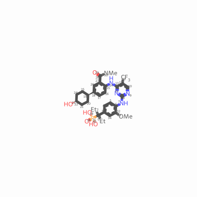 CCC(CC)(c1ccc(Nc2ncc(C(F)(F)F)c(Nc3ccc([C@H]4CC[C@H](O)CC4)cc3C(=O)NC)n2)c(OC)c1)P(=O)(O)O